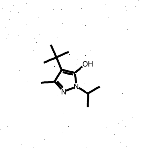 Cc1nn(C(C)C)c(O)c1C(C)(C)C